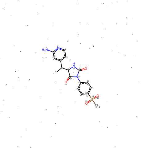 CC(c1ccnc(N)c1)C1NC(=O)N(c2ccc(S(=O)(=O)C(F)(F)F)cc2)C1=O